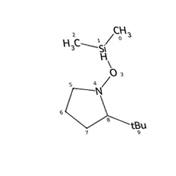 C[SiH](C)ON1CCCC1C(C)(C)C